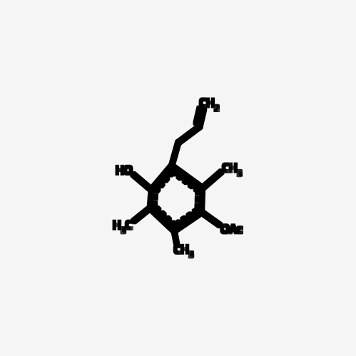 C=CCc1c(C)c(OC(C)=O)c(C)c(C)c1O